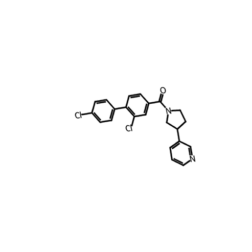 O=C(c1ccc(-c2ccc(Cl)cc2)c(Cl)c1)N1CCC(c2cccnc2)C1